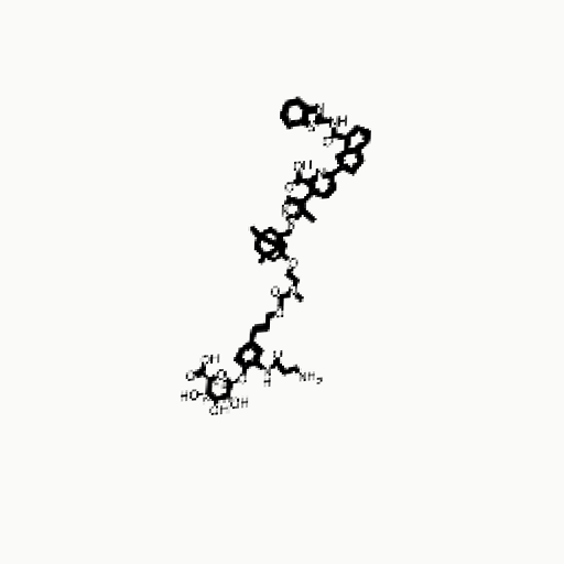 Cc1c(-c2ccc(-c3ccc4cccc(C(=O)Nc5nc6ccccc6s5)c4c3)nc2C(=O)O)cnn1CC12CC3(C)CC(C)(C1)CC(OCCN(C)C(=O)OCC=Cc1ccc(O[C@@H]4O[C@H](C(=O)O)[C@@H](O)[C@H](O)[C@H]4O)c(NC(=O)CCN)c1)(C3)C2